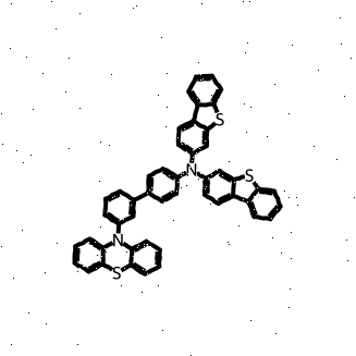 c1cc(-c2ccc(N(c3ccc4c(c3)sc3ccccc34)c3ccc4c(c3)sc3ccccc34)cc2)cc(N2c3ccccc3Sc3ccccc32)c1